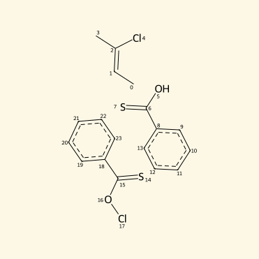 CC=C(C)Cl.OC(=S)c1ccccc1.S=C(OCl)c1ccccc1